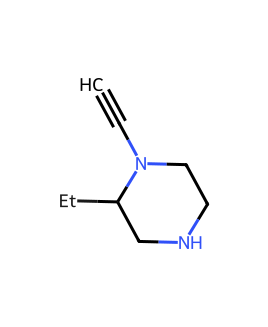 C#CN1CCNCC1CC